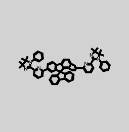 CC1(C)N=C(c2cccc(-c3ccc4c(c3)C3(c5ccccc5-c5ccccc53)c3c-4ccc4cc(-c5cccc(C6=NC(C)(C)C(C)(C)N6c6ccccc6)n5)ccc34)n2)N(c2ccccc2)C1(C)C